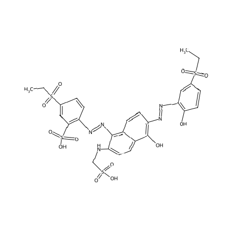 CCS(=O)(=O)c1ccc(O)c(/N=N/c2ccc3c(/N=N/c4ccc(S(=O)(=O)CC)cc4S(=O)(=O)O)c(NCS(=O)(=O)O)ccc3c2O)c1